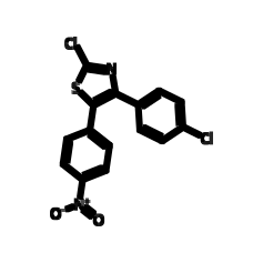 O=[N+]([O-])c1ccc(-c2sc(Cl)nc2-c2ccc(Cl)cc2)cc1